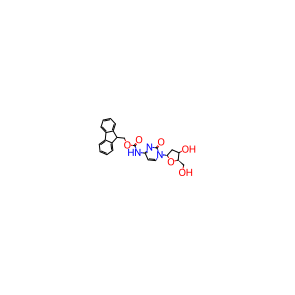 O=C(Nc1ccn([C@H]2CC(O)[C@@H](CO)O2)c(=O)n1)OCC1c2ccccc2-c2ccccc21